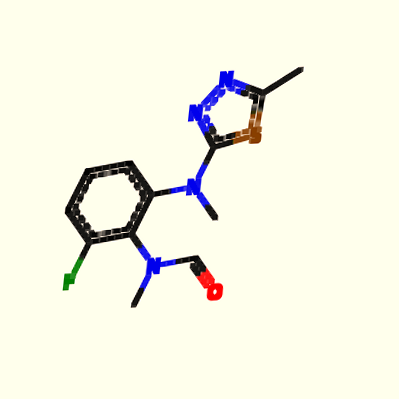 Cc1nnc(N(C)c2cccc(F)c2N(C)C=O)s1